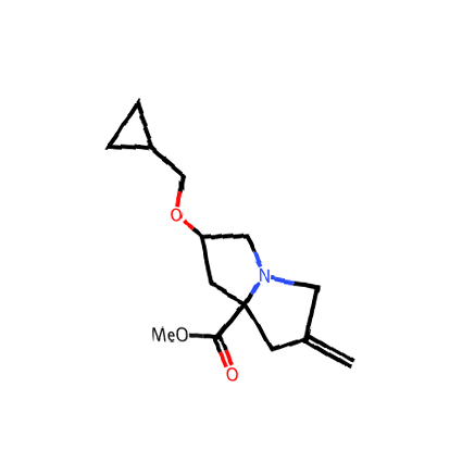 C=C1CN2CC(OCC3CC3)CC2(C(=O)OC)C1